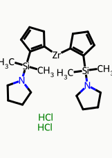 C[Si](C)(C1=[C]([Zr][C]2=C([Si](C)(C)N3CCCC3)C=CC2)CC=C1)N1CCCC1.Cl.Cl